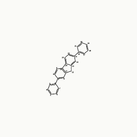 [c]1c(-c2ccccc2)ccc2c1Cc1cc(-c3ccccc3)ccc1-2